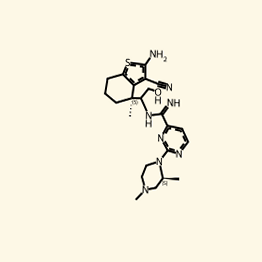 C[C@H]1CN(C)CCN1c1nccc(C(=N)NC(CO)[C@@]2(C)CCCc3sc(N)c(C#N)c32)n1